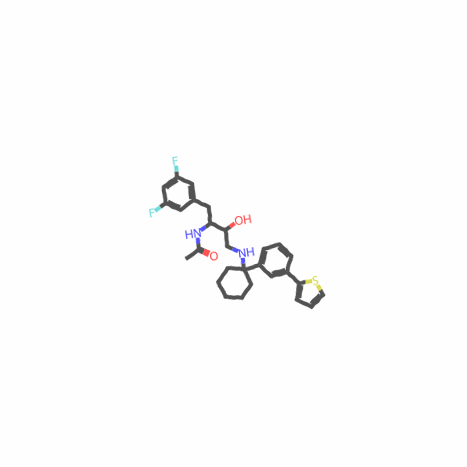 CC(=O)NC(Cc1cc(F)cc(F)c1)C(O)CNC1(c2cccc(-c3cccs3)c2)CCCCC1